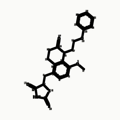 COc1ccc(CC2SC(=S)NC2=O)c2c1N(CCOc1ccccc1)C(=O)CC2